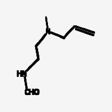 C=CCN(C)CCNC=O